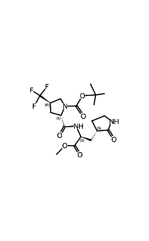 COC(=O)[C@H](C[C@@H]1CCNC1=O)NC(=O)[C@@H]1C[C@@H](C(F)(F)F)CN1C(=O)OC(C)(C)C